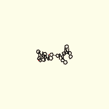 c1ccc(N(c2ccccc2)c2cccc3c2c2c4ccccc4ccc2n3-c2cccc3c(-c4ccc(N(c5ccc6ccccc6c5)c5ccc6c(c5)c5c7ccccc7ccc5n6-c5ccccc5)cc4)cccc23)cc1